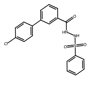 O=C(NNS(=O)(=O)c1ccccc1)c1cccc(-c2ccc(Cl)cc2)c1